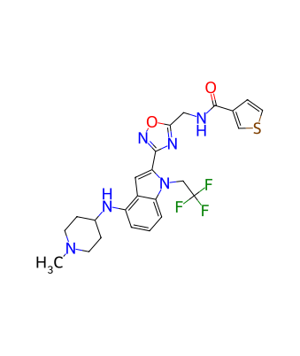 CN1CCC(Nc2cccc3c2cc(-c2noc(CNC(=O)c4ccsc4)n2)n3CC(F)(F)F)CC1